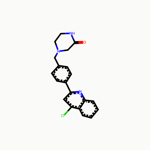 O=C1CN(Cc2ccc(-c3cc(Cl)c4ccccc4n3)cc2)CCN1